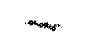 COc1cccc(CC(=O)Nc2cccc(C3CCN(CCCC(=O)c4ccc(Cl)cc4)CC3)c2)c1